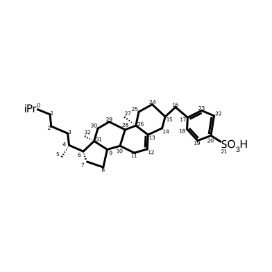 CC(C)CCC[C@@H](C)[C@H]1CCC2C3CC=C4CC(Cc5ccc(S(=O)(=O)O)cc5)CC[C@]4(C)C3CC[C@@]21C